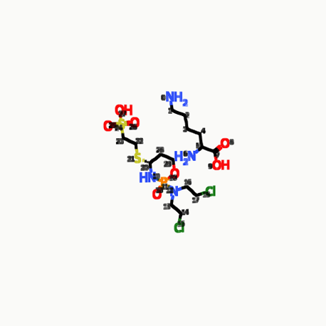 NCCCCC(N)C(=O)O.O=[P@]1(N(CCCl)CCCl)N[C@H](SCCS(=O)(=O)O)CCO1